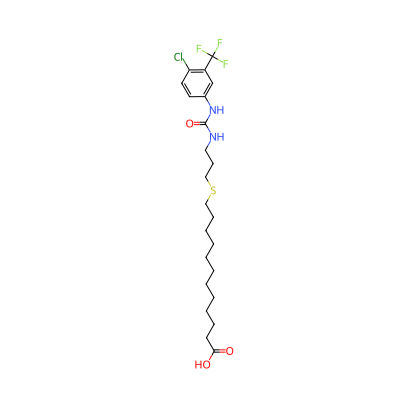 O=C(O)CCCCCCCCCCCSCCCNC(=O)Nc1ccc(Cl)c(C(F)(F)F)c1